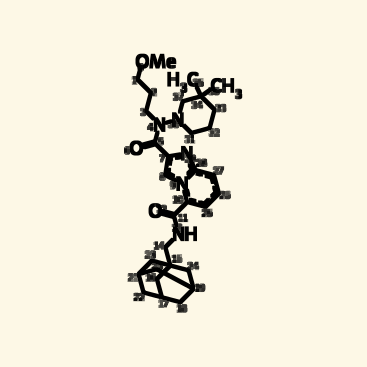 COCCCN(C(=O)c1cn2c(C(=O)NCC34CC5CC(CC(C5)C3)C4)cccc2n1)N1CCCC(C)(C)C1